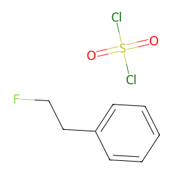 FCCc1ccccc1.O=S(=O)(Cl)Cl